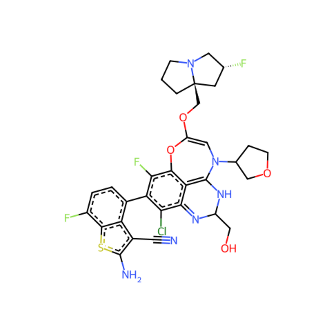 N#Cc1c(N)sc2c(F)ccc(-c3c(F)c4c5c(c3Cl)=NC(CO)NC=5N(C3CCOC3)C=C(OC[C@@]35CCCN3C[C@H](F)C5)O4)c12